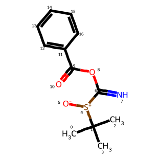 CC(C)(C)[S+]([O-])C(=N)OC(=O)c1ccccc1